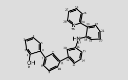 Oc1ccccc1-c1cccc(-c2cccc(Nc3ccccc3-c3ccccn3)c2)c1